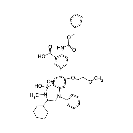 COCCOc1cc2c(cc1-c1ccc(NC(=O)OCc3ccccc3)c(C(=O)O)c1)S(O)(O)N(C)C(C1CCCCC1)CN2c1ccccc1